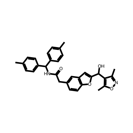 Cc1ccc(C(NC(=O)Cc2ccc3oc(C(O)c4c(C)noc4C)cc3c2)c2ccc(C)cc2)cc1